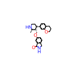 C[C@H]1NCC[C@@H](c2ccc3c(c2)OCCC3)[C@@H]1COc1ccc2c(c1)C(=O)NC2